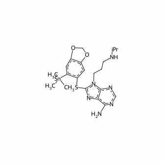 CC(C)NCCCn1c(Sc2cc3c(c[c]2[Sn]([CH3])([CH3])[CH3])OCO3)nc2c(N)ncnc21